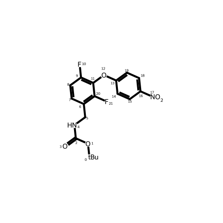 CC(C)(C)OC(=O)NCc1ccc(F)c(Oc2ccc([N+](=O)[O-])cc2)c1F